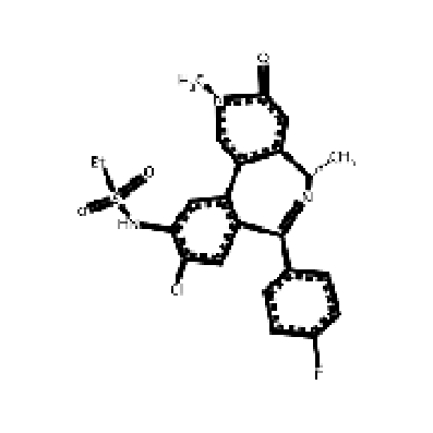 CCS(=O)(=O)Nc1cc2c(cc1Cl)C(c1ccc(F)cc1)=N[C@@H](C)c1cc(=O)n(C)cc1-2